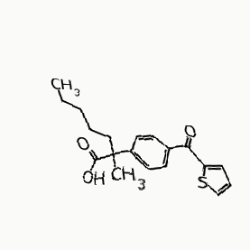 CCCCCC(C)(C(=O)O)c1ccc(C(=O)c2cccs2)cc1